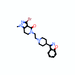 Cn1nc(Br)c2c1CCN(CCN1CCC(c3noc4ccccc34)CC1)C2=O